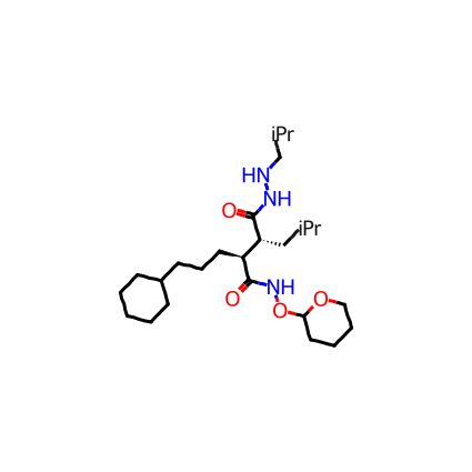 CC(C)CNNC(=O)[C@H](CC(C)C)[C@H](CCCC1CCCCC1)C(=O)NOC1CCCCO1